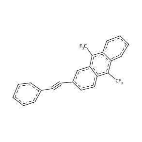 FC(F)(F)c1c2ccccc2c(C(F)(F)F)c2cc(C#Cc3ccccc3)ccc12